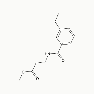 CCc1cccc(C(=O)NCCC(=O)OC)c1